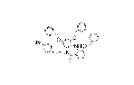 CC(C)c1ccc(CCCN2C(=O)c3cccc(OCc4ccccc4)c3Nc3c(OCc4ccccc4)cc(OCc4ccccc4)cc32)cc1